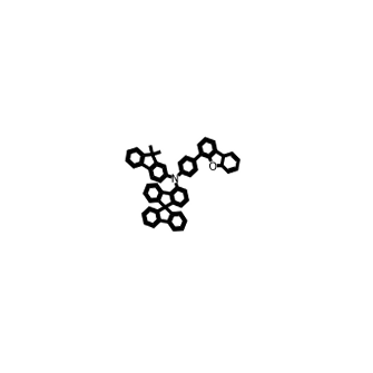 CC1(C)c2ccccc2-c2ccc(N(c3ccc(-c4cccc5c4OC4C=CC=CC54)cc3)c3cccc4c3-c3ccccc3C43c4ccccc4-c4ccccc43)cc21